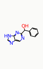 OC(c1ccccc1)c1ncc2nc[nH]c2n1